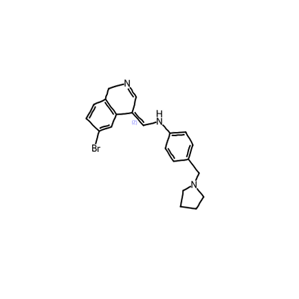 Brc1ccc2c(c1)/C(=C/Nc1ccc(CN3CCCC3)cc1)C=NC2